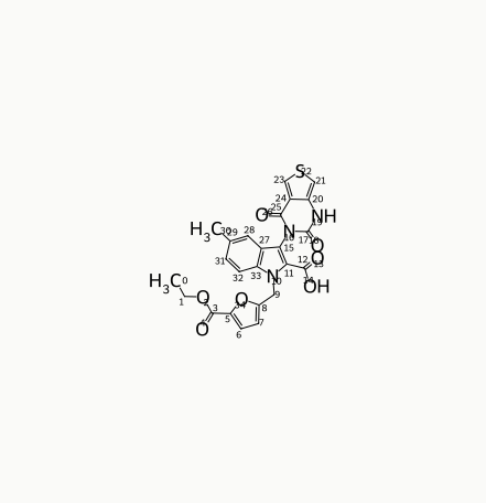 CCOC(=O)c1ccc(Cn2c(C(=O)O)c(-n3c(=O)[nH]c4cscc4c3=O)c3cc(C)ccc32)o1